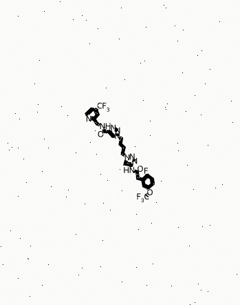 O=C(Cc1cc(OC(F)(F)F)ccc1F)Nc1cn(CCCCn2cc(C(=O)NCc3cc(C(F)(F)F)ccn3)nn2)nn1